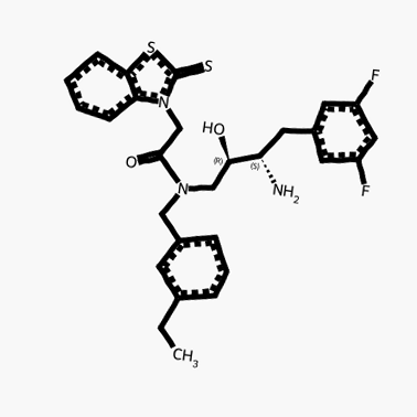 CCc1cccc(CN(C[C@@H](O)[C@@H](N)Cc2cc(F)cc(F)c2)C(=O)Cn2c(=S)sc3ccccc32)c1